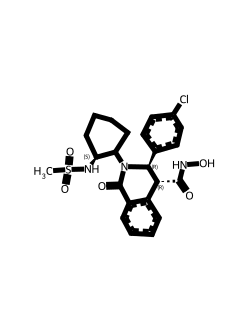 CS(=O)(=O)N[C@H]1CCCCC1N1C(=O)c2ccccc2[C@@H](C(=O)NO)[C@@H]1c1ccc(Cl)cc1